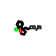 CCOC(=O)CCC1(c2ccccc2Cl)CCCO1